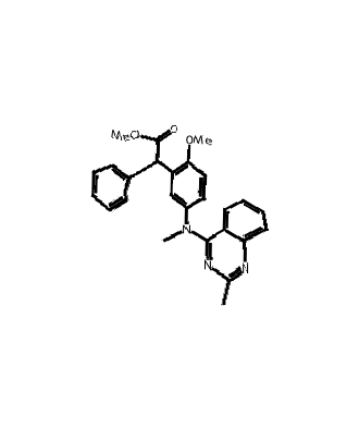 COC(=O)C(c1ccccc1)c1cc(N(C)c2nc(C)nc3ccccc23)ccc1OC